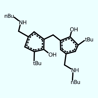 CCCCNCc1cc(Cc2cc(CNCCCC)cc(C(C)(C)C)c2O)c(O)c(C(C)(C)C)c1